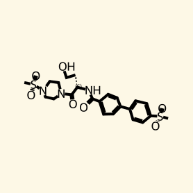 CS(=O)(=O)c1ccc(-c2ccc(C(=O)N[C@@H](CCO)C(=O)N3CCN(S(C)(=O)=O)CC3)cc2)cc1